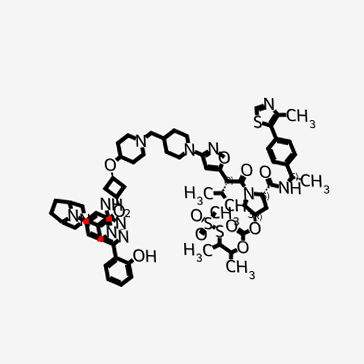 Cc1ncsc1-c1ccc([C@H](C)NC(=O)[C@@H]2C[C@@H](OC(=O)OC(C)C(C)SS(C)(=O)=O)CN2C(=O)[C@@H](c2cc(N3CCC(CN4CCC(O[C@H]5C[C@H](Oc6cc(N7C8CCC7CN(c7cc(-c9ccccc9O)nnc7N)C8)ccn6)C5)CC4)CC3)no2)C(C)C)cc1